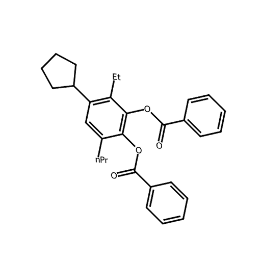 CCCc1cc(C2CCCC2)c(CC)c(OC(=O)c2ccccc2)c1OC(=O)c1ccccc1